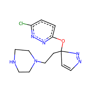 Clc1ccc(OC2(CCN3CCNCC3)C=CN=N2)nn1